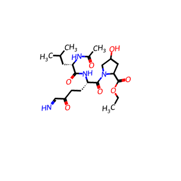 CCOC(=O)C1CC(O)CN1C(=O)[C@H](CCC(=O)C=N)NC(=O)[C@H](CC(C)C)NC(C)=O